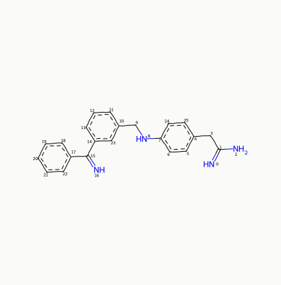 N=C(N)Cc1ccc(NCc2cccc(C(=N)c3ccccc3)c2)cc1